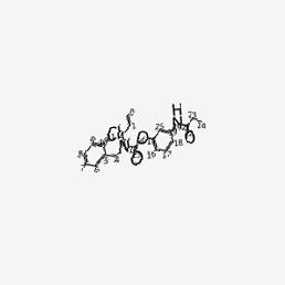 C=CCN(Cc1ccccc1Cl)C(=O)Oc1cccc(NC(=O)CC)c1